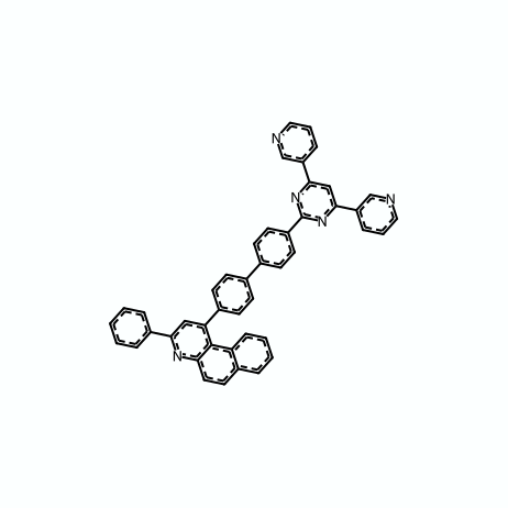 c1ccc(-c2cc(-c3ccc(-c4ccc(-c5nc(-c6cccnc6)cc(-c6cccnc6)n5)cc4)cc3)c3c(ccc4ccccc43)n2)cc1